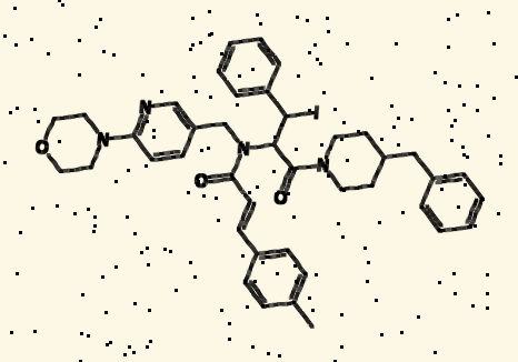 Cc1ccc(C=CC(=O)N(Cc2ccc(N3CCOCC3)nc2)C(C(=O)N2CCC(Cc3ccccc3)CC2)C(I)c2ccccc2)cc1